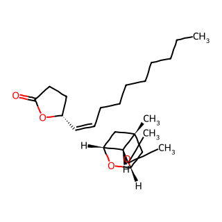 CC1(C)O[C@@H]2C[C@@]3(C)C[C@@H](O2)[C@@H]13.CCCCCCCC/C=C\[C@H]1CCC(=O)O1